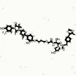 Cc1ncsc1-c1ccc(CNC(=O)[C@@H]2C[C@@H](O)CN2C(=O)[C@@H](NC(=O)COCCCCOc2ccc(-c3ncc(N4C(=S)N(c5ccc(C#N)c(C(F)(F)F)c5F)C(=O)C4(C)C)cc3F)cc2C#N)C(C)(C)C)cc1